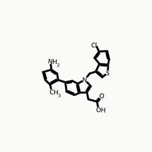 Cc1ccc(N)cc1-c1ccc2c(CC(=O)O)cn(Cc3csc4ccc(Cl)cc34)c2c1